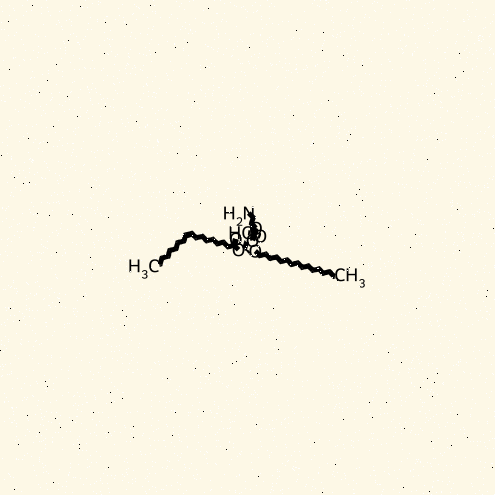 CCCCCCCC/C=C\CCCCCCCC(=O)O[C@H](COCCCCCCCCCCCCCCCC)COP(=O)(O)OCCN